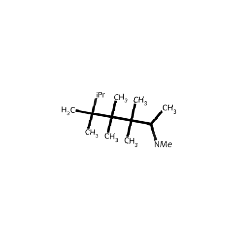 CNC(C)C(C)(C)C(C)(C)C(C)(C)C(C)C